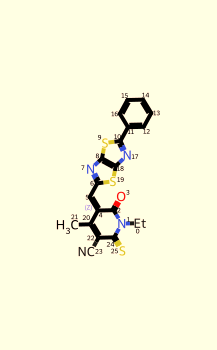 CCN1C(=O)/C(=C\c2nc3sc(-c4ccccc4)nc3s2)C(C)=C(C#N)C1=S